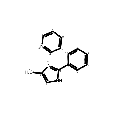 Cc1c[nH]c(-c2ccccc2)n1.c1ccncc1